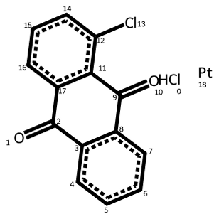 Cl.O=C1c2ccccc2C(=O)c2c(Cl)cccc21.[Pt]